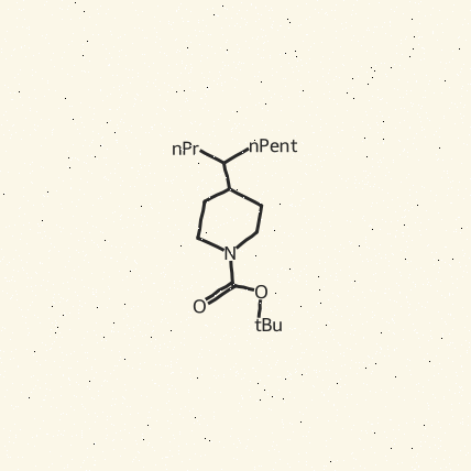 CCCCCC(CCC)C1CCN(C(=O)OC(C)(C)C)CC1